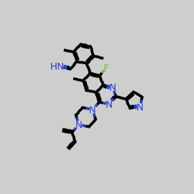 C=CC(=C)N1CCN(c2nc(C3=CCN=C3)nc3c(F)c(-c4c(C)ccc(C)c4C=N)c(C)cc23)CC1